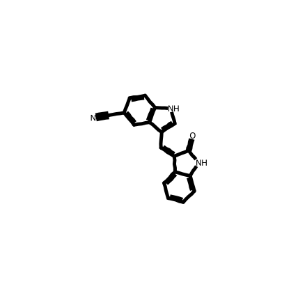 N#Cc1ccc2[nH]cc(C=C3C(=O)Nc4ccccc43)c2c1